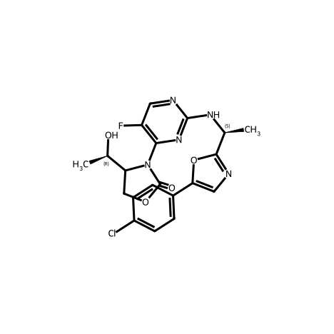 C[C@H](Nc1ncc(F)c(N2C(=O)OCC2[C@@H](C)O)n1)c1ncc(-c2ccc(Cl)cc2)o1